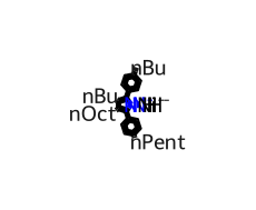 CCCCCCCCC1=C(c2ccc(CCCCC)cc2)[N+](=[N-])C(c2ccc(CCCC)cc2)=C1CCCC.[H-].[H-].[Ni]